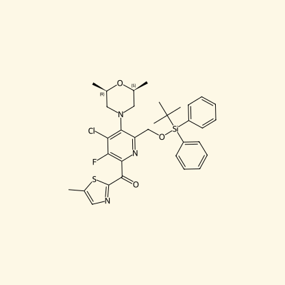 Cc1cnc(C(=O)c2nc(CO[Si](c3ccccc3)(c3ccccc3)C(C)(C)C)c(N3C[C@@H](C)O[C@@H](C)C3)c(Cl)c2F)s1